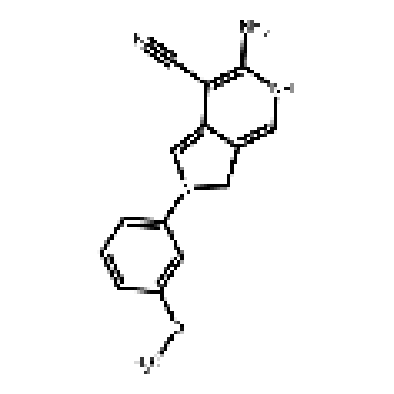 COc1cccc(N2C=C3C(=CNC(N)=C3C#N)C2)c1